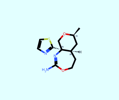 C[C@H]1C[C@H]2CCOC(N)=N[C@@]2(c2nccs2)CO1